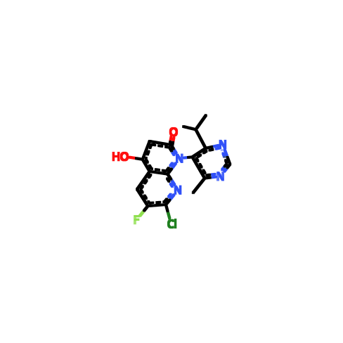 Cc1ncnc(C(C)C)c1-n1c(=O)cc(O)c2cc(F)c(Cl)nc21